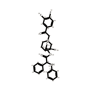 O=C(C[N+]12CCC(CC1)[C@@H](OC(=O)C(Nc1ccccc1)c1ccccc1)C2)c1ccc(F)c(F)c1